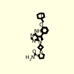 NC(=O)[C@@H]1CCCN1C1CC(n2cc(-c3cccc(OCC45CCC(CC4)O5)c3)c3c(N)ncnc32)C1